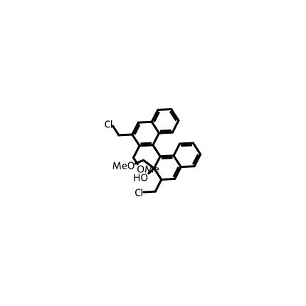 COCc1c(CCl)cc2ccccc2c1C1=c2ccccc2=CC(CCl)C1(O)COC